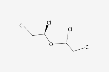 ClC[C@@H](Cl)O[C@H](Cl)CCl